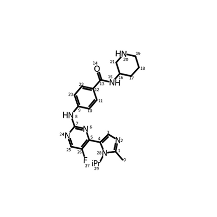 Cc1ncc(-c2nc(Nc3ccc(C(=O)NC4CCCNC4)cc3)ncc2F)n1C(C)C